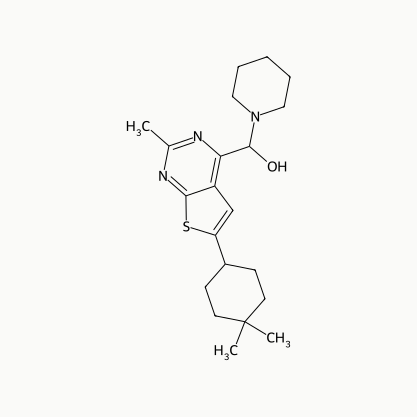 Cc1nc(C(O)N2CCCCC2)c2cc(C3CCC(C)(C)CC3)sc2n1